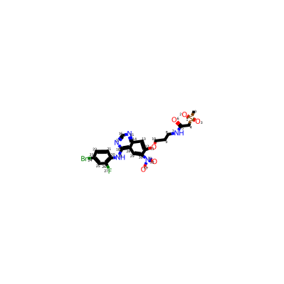 CS(=O)(=O)CC(=O)NCCCOc1cc2ncnc(Nc3ccc(Br)cc3F)c2cc1[N+](=O)[O-]